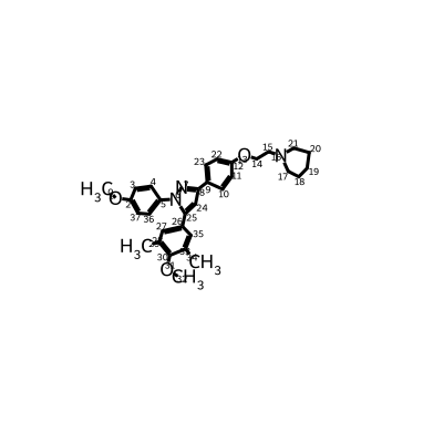 COc1ccc(-n2nc(-c3ccc(OCCN4CCCCC4)cc3)cc2-c2cc(C)c(OC)c(C)c2)cc1